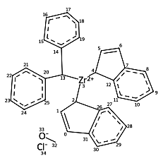 C1=C[CH]([Zr+2]([CH]2C=Cc3ccccc32)[CH](c2ccccc2)c2ccccc2)c2ccccc21.C[O-].[Cl-]